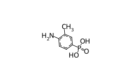 Cc1cc(P(=O)(O)O)ccc1N